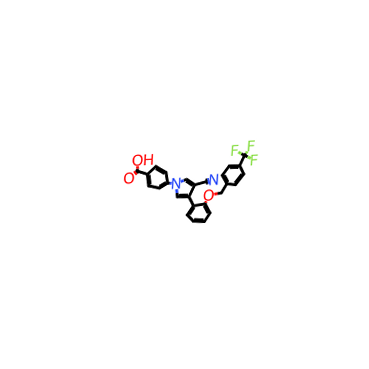 N#Cc1cn(-c2ccc(C(=O)O)cc2)cc1-c1ccccc1OCc1ccc(C(F)(F)F)cc1